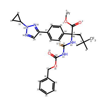 CC(C)OC(=O)[C@](CC(C)(C)C(F)(F)F)(NC(=S)NC(=O)OCc1ccccc1)c1ccc(-c2cnn(C3CC3)n2)cc1